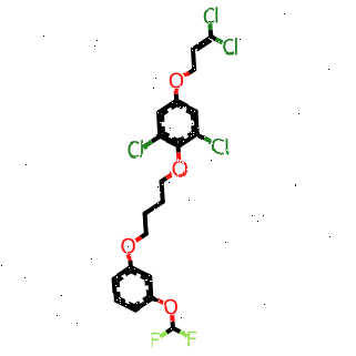 FC(F)Oc1cccc(OCCCCOc2c(Cl)cc(OCC=C(Cl)Cl)cc2Cl)c1